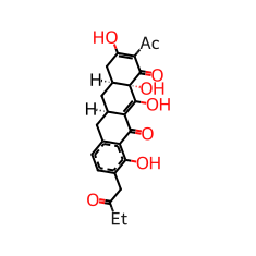 CCC(=O)Cc1ccc2c(c1O)C(=O)C1=C(O)[C@]3(O)C(=O)C(C(C)=O)=C(O)C[C@@H]3C[C@@H]1C2